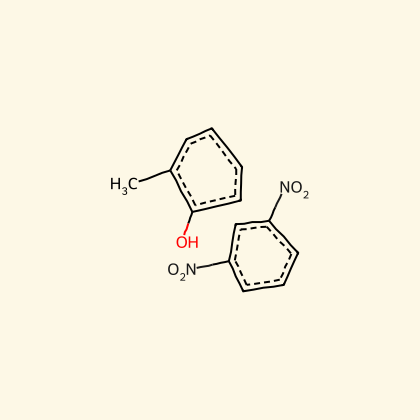 Cc1ccccc1O.O=[N+]([O-])c1cccc([N+](=O)[O-])c1